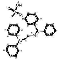 CS(=O)(=O)O.c1ccc(C(PCC[As](c2ccccc2)c2ccccc2)c2ccccc2)cc1